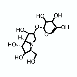 OC[C@H]1[C@@H](O)[C@H](O)[C@H]2[C@@H](O)[C@@H](O[C@H]3OC=C(O)C(O)C3O)CN21